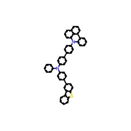 c1ccc(N(c2ccc(-c3ccc(N4c5ccccc5-c5cccc6cccc4c56)cc3)cc2)c2ccc(-c3ccc4sc5ccccc5c4c3)cc2)cc1